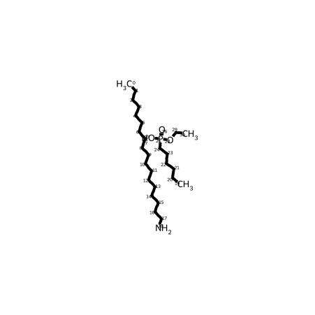 CCCCCCCCCCCCCCCCCCN.CCCCCCP(=O)(O)OCC